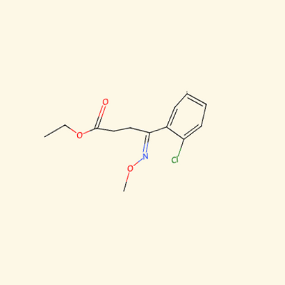 CCOC(=O)CCC(=NOC)c1c[c]ccc1Cl